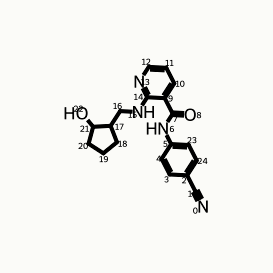 N#Cc1ccc(NC(=O)c2cccnc2NCC2CCCC2O)cc1